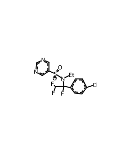 CCN(C(F)(c1ccc(Cl)cc1)C(F)F)S(=O)(=O)c1cncnc1